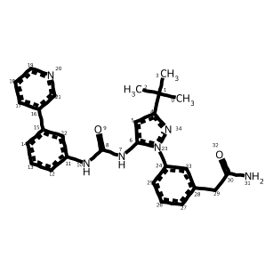 CC(C)(C)c1cc(NC(=O)Nc2cccc(-c3cccnc3)c2)n(-c2cccc(CC(N)=O)c2)n1